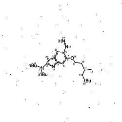 CCCCN(CCCC)c1nc2cc(OCCC(C)CC(C)(C)C)c(N=N)cc2s1